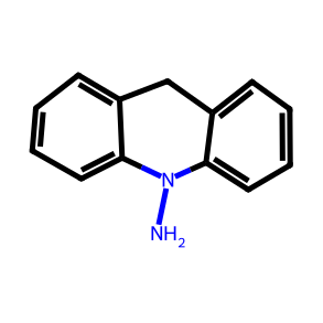 NN1c2ccccc2Cc2ccccc21